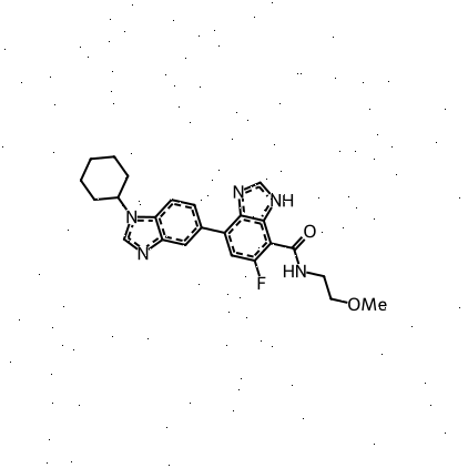 COCCNC(=O)c1c(F)cc(-c2ccc3c(c2)ncn3C2CCCCC2)c2nc[nH]c12